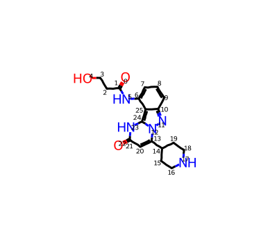 O=C(CCO)Nc1cccc2nn3c(C4CCNCC4)cc(=O)[nH]c3c12